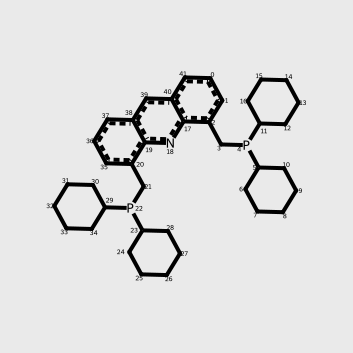 c1cc(CP(C2CCCCC2)C2CCCCC2)c2nc3c(CP(C4CCCCC4)C4CCCCC4)cccc3cc2c1